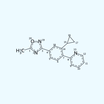 Cc1nc(-c2ccc(-c3ccccn3)c(C3CC3)c2)no1